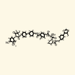 Cc1ncsc1-c1ccc(CNC(=O)[C@@H]2CCCN2C(=O)[C@@H](NC(=O)c2ccc(C(=O)Nc3ccc(-c4ccc(N5C(=S)N(c6ccc(C#N)c(C(F)(F)F)c6F)C(=O)C5(C)C)cn4)cc3)c(F)c2)C(C)(C)C)cc1